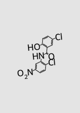 O=C(Nc1cc([N+](=O)[O-])ccc1Cl)c1cc(Cl)ccc1O